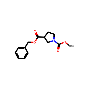 CC(C)(C)OC(=O)N1CCC(C(=O)OCc2ccccc2)C1